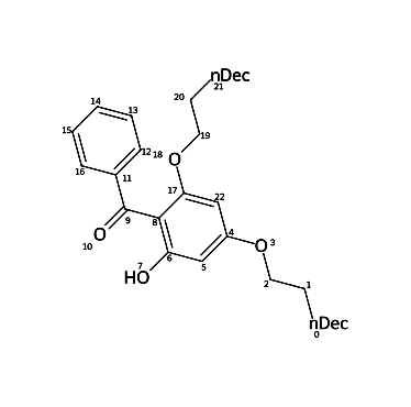 CCCCCCCCCCCCOc1cc(O)c(C(=O)c2ccccc2)c(OCCCCCCCCCCCC)c1